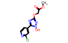 COC(=O)COc1nc(-c2ccnc(Cl)c2)n(O)n1